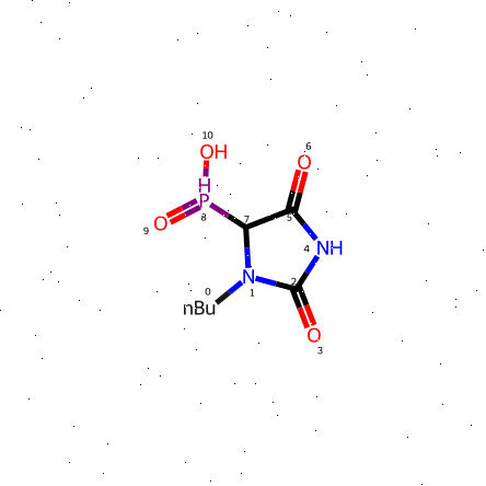 CCCCN1C(=O)NC(=O)C1[PH](=O)O